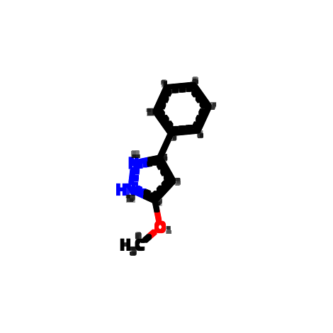 COc1cc(-c2ccccc2)n[nH]1